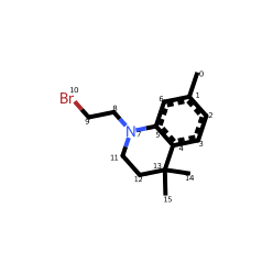 Cc1ccc2c(c1)N(CCBr)CCC2(C)C